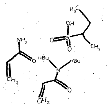 C=CC(=O)N(CCCC)CCCC.C=CC(N)=O.CCC(C)S(=O)(=O)O